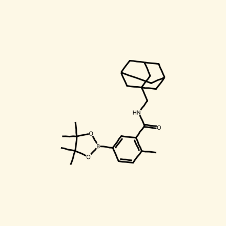 Cc1ccc(B2OC(C)(C)C(C)(C)O2)cc1C(=O)NCC12CC3CC(CC(C3)C1)C2